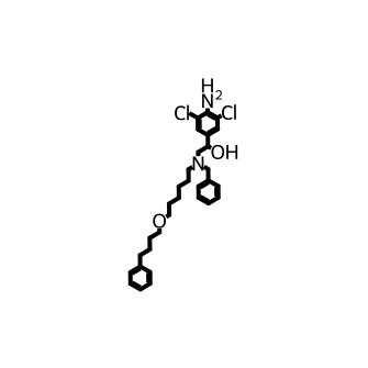 Nc1c(Cl)cc(C(O)CN(CCCCCCOCCCCc2ccccc2)Cc2ccccc2)cc1Cl